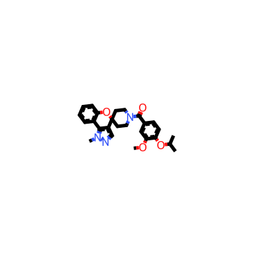 COc1cc(C(=O)N2CCC3(CC2)Oc2ccccc2-c2c3cnn2C)ccc1OC(C)C